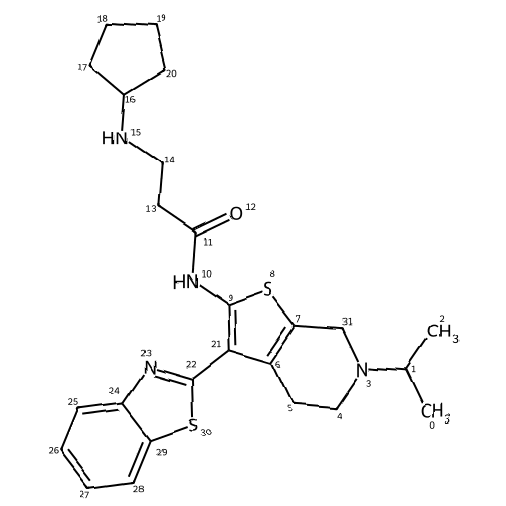 CC(C)N1CCc2c(sc(NC(=O)CCNC3CCCC3)c2-c2nc3ccccc3s2)C1